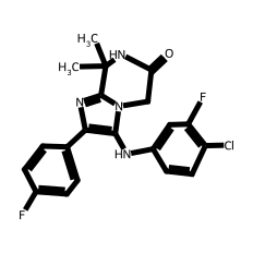 CC1(C)NC(=O)Cn2c1nc(-c1ccc(F)cc1)c2Nc1ccc(Cl)c(F)c1